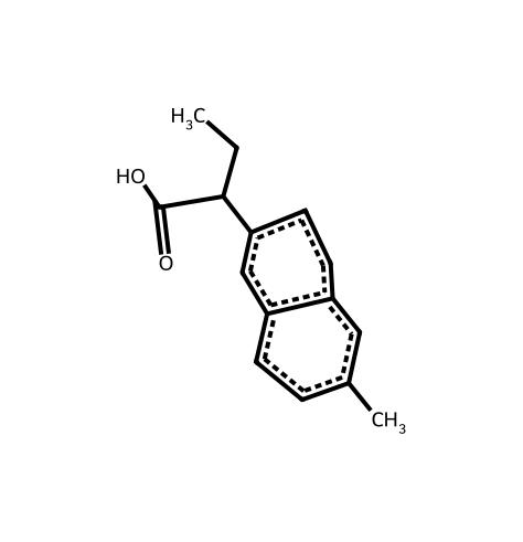 CCC(C(=O)O)c1ccc2cc(C)ccc2c1